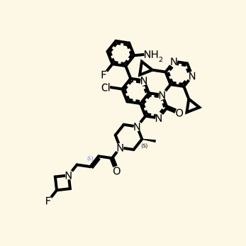 C[C@H]1CN(C(=O)/C=C/CN2CC(F)C2)CCN1c1nc(=O)n(-c2c(C3CC3)ncnc2C2CC2)c2nc(-c3c(N)cccc3F)c(Cl)cc12